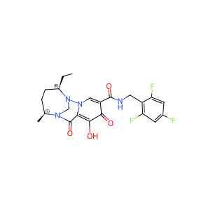 CC[C@@H]1CC[C@H](C)N2CN1n1cc(C(=O)NCc3c(F)cc(F)cc3F)c(=O)c(O)c1C2=O